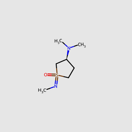 CN=S1(=O)CC[C@H](N(C)C)C1